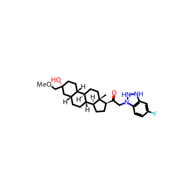 COC[C@@]1(O)CC[C@H]2[C@H](CC[C@@H]3[C@@H]2CC[C@]2(C)[C@@H](C(=O)CN4NNc5cc(F)ccc54)CC[C@@H]32)C1